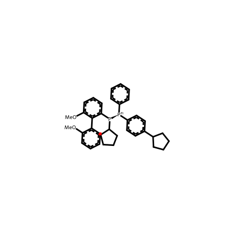 COc1ccc[c]c1-c1c(OC)cccc1P(C1CCCC1)[P@@](c1ccccc1)c1ccc(C2CCCC2)cc1